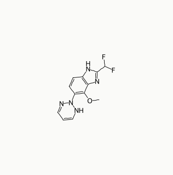 COc1c(N2N=CC=CN2)ccc2[nH]c(C(F)F)nc12